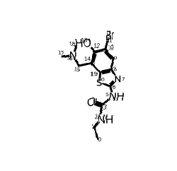 CCNC(=O)Nc1nc2cc(Br)c(O)c(CN(C)C)c2s1